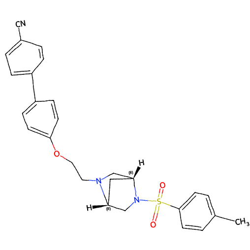 Cc1ccc(S(=O)(=O)N2C[C@H]3C[C@@H]2CN3CCOc2ccc(-c3ccc(C#N)cc3)cc2)cc1